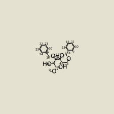 CO[C@H]1O[C@@H]2COC(c3ccccc3)O[C@H]2[C@H](OCc2ccccc2)[C@H]1O